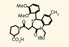 COc1cccc(C2SC(CC(=O)N3CCCC(C(=O)O)C3)C(=O)N(CC(C)(C)C)c3ccc(C)cc32)c1OC